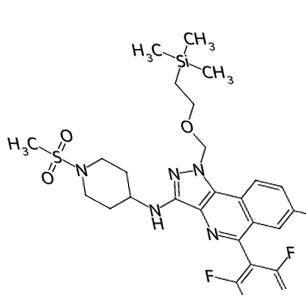 C[Si](C)(C)CCOCn1nc(NC2CCN(S(C)(=O)=O)CC2)c2nc(-c3c(F)cccc3F)c3cc(C=O)ccc3c21